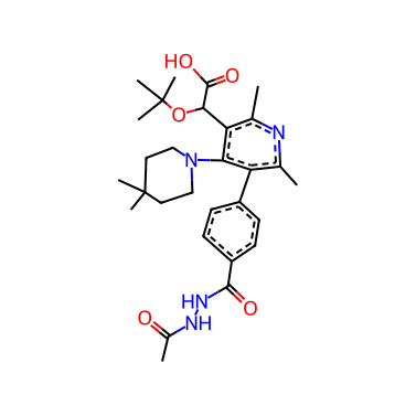 CC(=O)NNC(=O)c1ccc(-c2c(C)nc(C)c(C(OC(C)(C)C)C(=O)O)c2N2CCC(C)(C)CC2)cc1